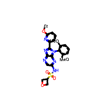 CCOc1cccc(-c2nc3ncc(NS(=O)(=O)C4COC4)nc3n2-c2c(OC)cccc2OC)n1